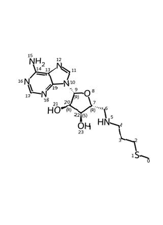 CSCCCNC[C@H]1O[C@@H](n2cnc3c(N)ncnc32)[C@H](O)[C@@H]1O